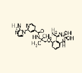 CC(C)(COc1cccc2c1C(N)=NS(O)(O)N2)NC(=O)c1ccnc(-n2ccnc2N)c1